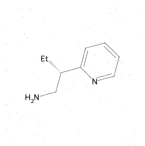 CC[C@@H](CN)c1ccccn1